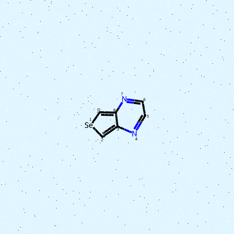 [c]1[se][c]c2nccnc12